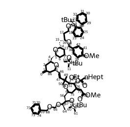 C=C1C[C@@H](C[C@H]2C[C@@H](O[Si](C)(C)C(C)(C)C)C[C@@H](C[C@H](CCO[Si](c3ccccc3)(c3ccccc3)C(C)(C)C)OCc3ccc(OC)cc3)O2)O[C@@H](/C=C/C(C)(C)[C@]2(OCC)O[C@H](C[C@@H](O[Si](C)(C)C(C)(C)C)[C@@H](C)OCOCc3ccccc3)C/C(=C\C(=O)OC)[C@@H]2OC(=O)CCCCCCC)C1